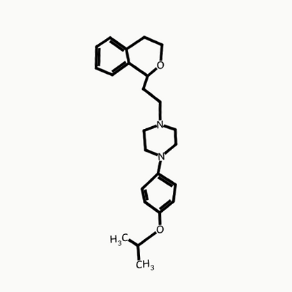 CC(C)Oc1ccc(N2CCN(CCC3OCCc4ccccc43)CC2)cc1